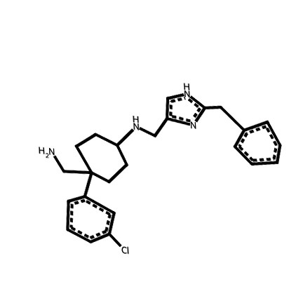 NCC1(c2cccc(Cl)c2)CCC(NCc2c[nH]c(Cc3ccccc3)n2)CC1